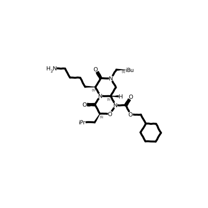 CC[C@H](C)CN1C[C@@H]2N(C(=O)OCC3CCCCC3)O[C@@H](CC(C)C)C(=O)N2[C@@H](CCCCN)C1=O